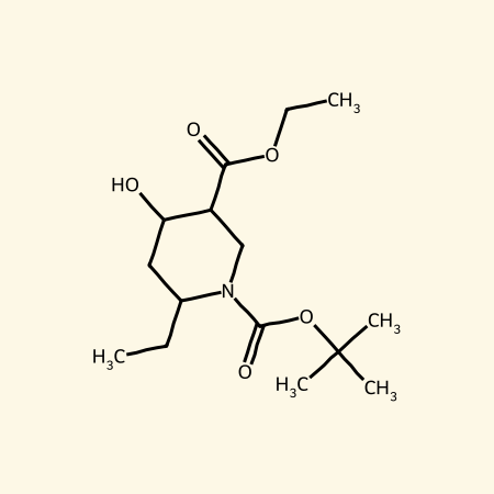 CCOC(=O)C1CN(C(=O)OC(C)(C)C)C(CC)CC1O